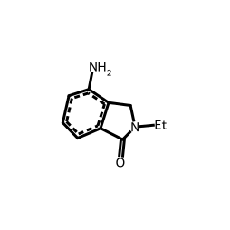 CCN1Cc2c(N)cccc2C1=O